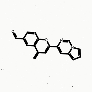 C=C1C=C(c2cc3cccn3cn2)Oc2ccc(C=O)cc21